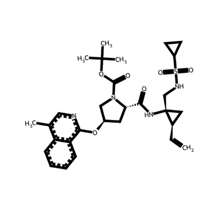 C=C[C@@H]1C[C@@]1(CNS(=O)(=O)C1CC1)NC(=O)[C@@H]1C[C@@H](Oc2ncc(C)c3ccccc23)CN1C(=O)OC(C)(C)C